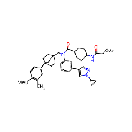 COc1ccc(C23CCC(CN(C(=O)C4CCC(NC(=O)COC(C)=O)CC4)c4cccc(-c5cnn(C6CC6)c5)c4)(CC2)CC3)cc1C